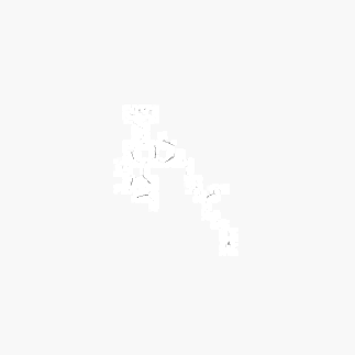 COCCOc1ccc(OCCOC(=O)CCCCC(C)=O)cc1C1C(=O)Oc2c(C)cc(C)cc21